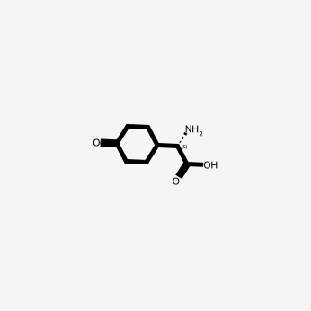 N[C@H](C(=O)O)C1CCC(=O)CC1